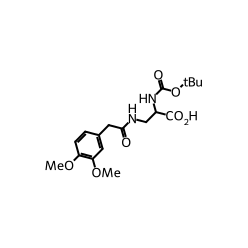 COc1ccc(CC(=O)NCC(NC(=O)OC(C)(C)C)C(=O)O)cc1OC